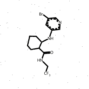 O=C(NCC(F)(F)F)C1CCCCC1Nc1cncc(Br)c1